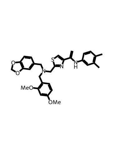 C=C(Nc1ccc(C)c(C)c1)c1csc(CN(Cc2ccc3c(c2)OCO3)Cc2ccc(OC)cc2OC)n1